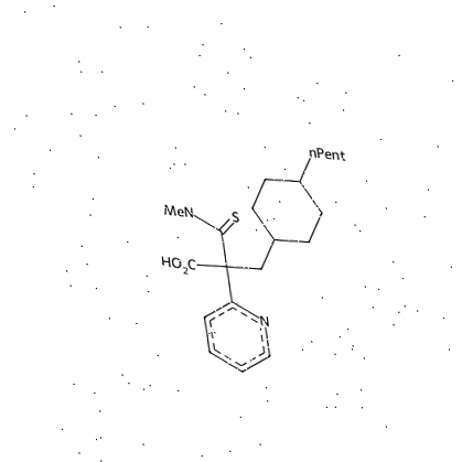 CCCCCC1CCC(CC(C(=O)O)(C(=S)NC)c2ccccn2)CC1